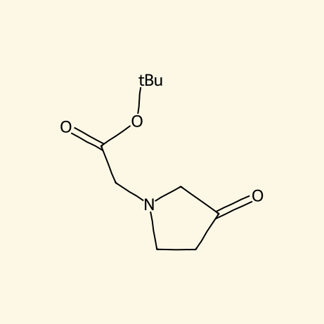 CC(C)(C)OC(=O)CN1CCC(=O)C1